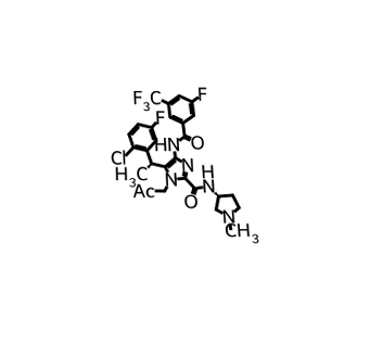 CC(=O)Cn1c(C(=O)N[C@H]2CCN(C)C2)nc(NC(=O)c2cc(F)cc(C(F)(F)F)c2)c1[C@@H](C)c1cc(F)ccc1Cl